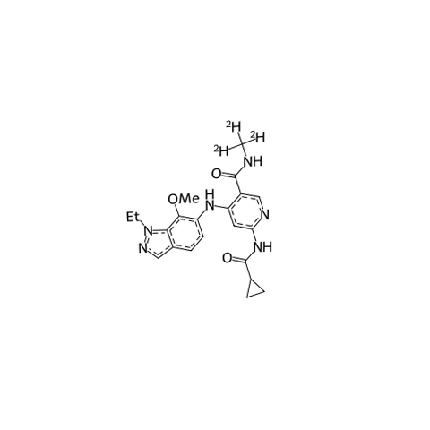 [2H]C([2H])([2H])NC(=O)c1cnc(NC(=O)C2CC2)cc1Nc1ccc2cnn(CC)c2c1OC